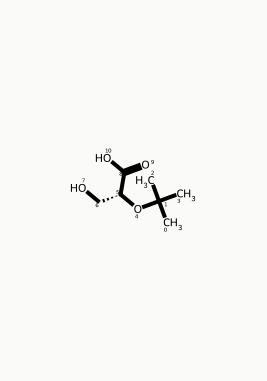 CC(C)(C)O[C@H](CO)C(=O)O